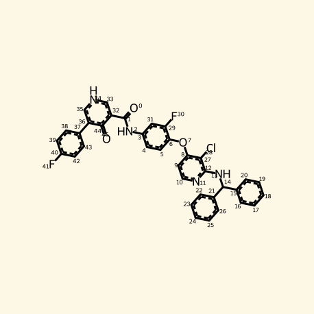 O=C(Nc1ccc(Oc2ccnc(NC(c3ccccc3)c3ccccc3)c2Cl)c(F)c1)c1c[nH]cc(-c2ccc(F)cc2)c1=O